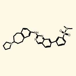 CN(C)S(=O)(=O)c1cccc(-c2ccc3cnc(Nc4ccc5c(c4)CCC(N4CCCC4)CC5)nc3c2)c1